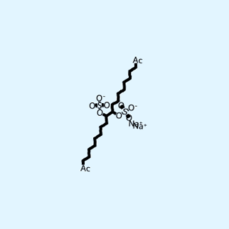 CC(=O)CCCCCCCCC(OS(=O)(=O)[O-])C(CCCCCCCCC(C)=O)OS(=O)(=O)[O-].[Na+].[Na+]